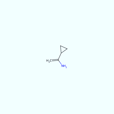 C=C(N)C1CC1